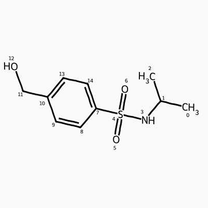 CC(C)NS(=O)(=O)c1ccc(CO)cc1